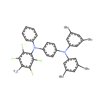 CC(C)(C)c1cc(N(c2ccc(N(c3ccccc3)c3c(F)c(F)c(C(F)(F)F)c(F)c3F)cc2)c2cc(C(C)(C)C)cc(C(C)(C)C)c2)cc(C(C)(C)C)c1